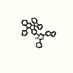 C1=CCCC(C2=NC(c3ccc4ccccc4c3)=CC(c3ccc4c(c3)C3(C5=CCCC=C5c5ccccc53)c3cc5ccccc5c(-c5ccccc5)c3-4)N2)=C1